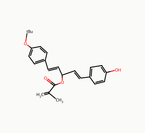 C=C(C)C(=O)OC(C=Cc1ccc(O)cc1)C=Cc1ccc(OC(C)(C)C)cc1